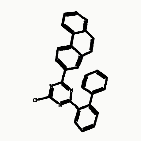 Clc1nc(-c2ccc3c(ccc4ccccc43)c2)nc(-c2ccccc2-c2ccccc2)n1